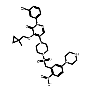 CC1(COc2c(N3CCN(S(=O)(=O)Cc4cc(N5CCNCC5)ccc4[N+](=O)[O-])CC3)cnn(-c3cccc(Cl)c3)c2=O)CC1